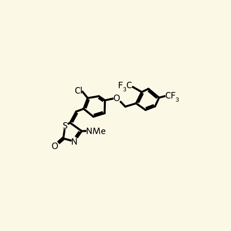 CNC1=NC(=O)SC1=Cc1ccc(OCc2ccc(C(F)(F)F)cc2C(F)(F)F)cc1Cl